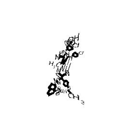 CCCOc1ccc(-c2c(N=Nc3ccc4cccc(S(=O)(=O)O)c4c3)sc(N=Nc3c(Nc4ccc(Cl)cc4)nc(Nc4ccc(Cl)c(S(=O)(=O)O)c4)c(C#N)c3C)c2C#N)cc1